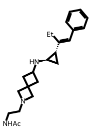 CC/C(=C\c1ccccc1)[C@@H]1C[C@H]1NC1CC2(C1)CN(CCNC(C)=O)C2